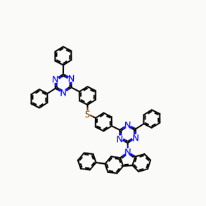 c1ccc(-c2ccc3c4ccccc4n(-c4nc(-c5ccccc5)nc(-c5ccc(Sc6cccc(-c7nc(-c8ccccc8)nc(-c8ccccc8)n7)c6)cc5)n4)c3c2)cc1